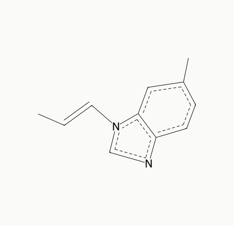 C/C=C/n1cnc2ccc(C)cc21